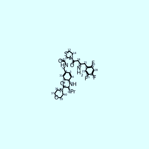 CC(C)C(NC1C=CC(CNC(=O)[C@@H]2SCCN2C(=O)C[C@H](N)Cc2cc(F)c(F)cc2F)=CC1)C(=O)N1CCOCC1